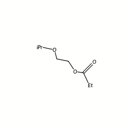 [CH2]CC(=O)OCCOC(C)C